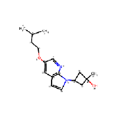 CC(C)CCOc1cnc2c(ccn2C2CC(C)(O)C2)c1